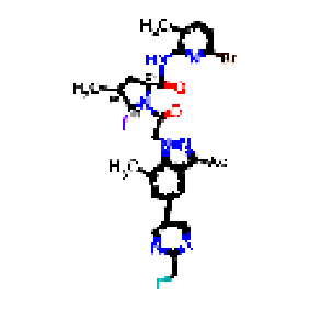 CC(=O)c1nn(CC(=O)N2[C@H](I)[C@@H](C)C[C@H]2C(=O)Nc2nc(Br)ccc2C)c2c(C)cc(-c3cnc(CF)nc3)cc12